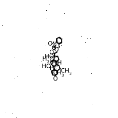 CC1C[C@@H]2[C@H](C(O)C[C@@]3(C)[C@H]2CC[C@]3(O)C(=O)COCc2ccccc2[N+](=O)[O-])[C@@]2(C)C=CC(=O)C=C12